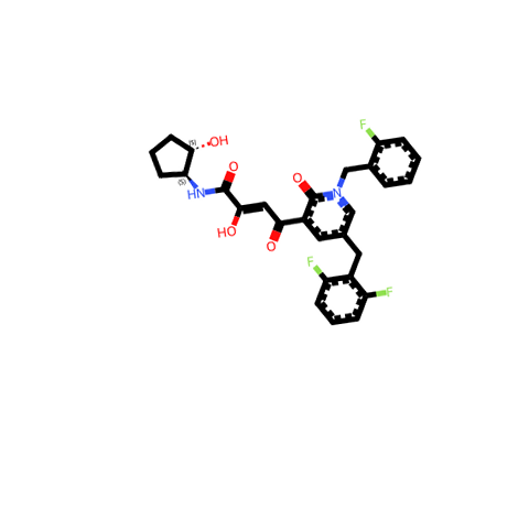 O=C(N[C@H]1CCC[C@@H]1O)C(O)=CC(=O)c1cc(Cc2c(F)cccc2F)cn(Cc2ccccc2F)c1=O